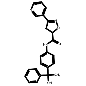 CC(O)(c1ccccc1)c1ccc(NC(=O)C2CC(c3cccnc3)=NO2)cc1